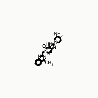 Cc1nc(Cn2ncc3nc(N4CCC[C@@H](N)C4)[nH]c3c2=O)nc2ccccc12